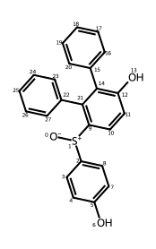 [O-][S+](c1ccc(O)cc1)c1ccc(O)c(-c2ccccc2)c1-c1ccccc1